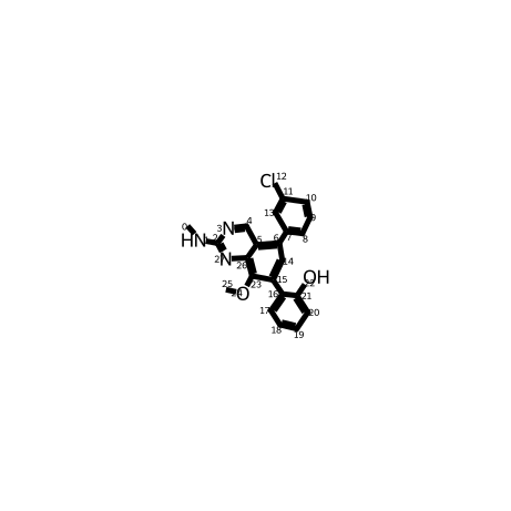 CNc1ncc2c(-c3cccc(Cl)c3)cc(-c3ccccc3O)c(OC)c2n1